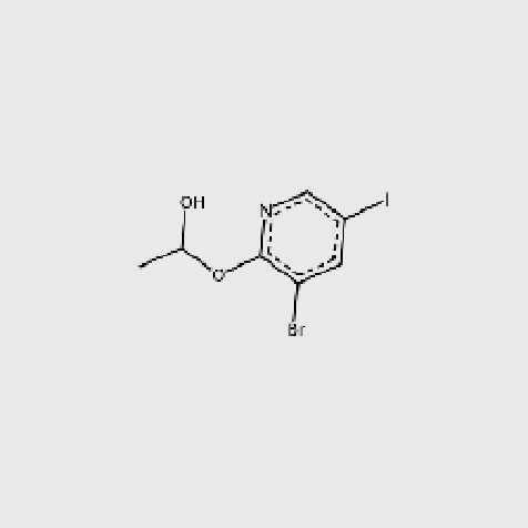 CC(O)Oc1ncc(I)cc1Br